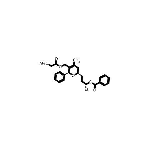 CC[C@@H](CC[C@@H]1CC(C)=C(COC(=O)COC)[C@H](c2ccccc2)O1)OC(=O)c1ccccc1